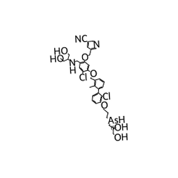 Cc1c(COc2cc(OCc3cncc(C#N)c3)c(CNC(CO)CO)cc2Cl)cccc1-c1cccc(OCCC[AsH]C[C@@H](O)CO)c1Cl